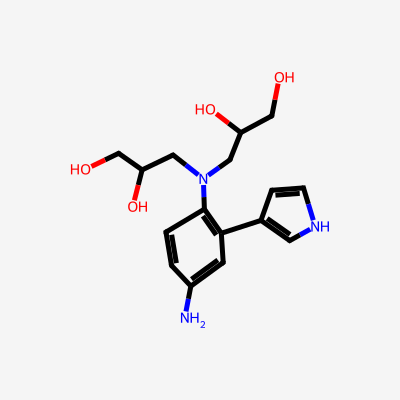 Nc1ccc(N(CC(O)CO)CC(O)CO)c(-c2cc[nH]c2)c1